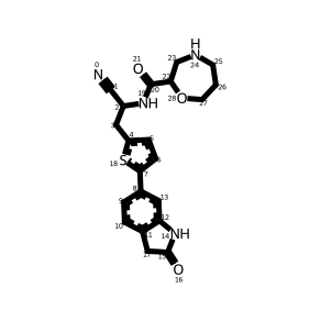 N#CC(Cc1ccc(-c2ccc3c(c2)NC(=O)C3)s1)NC(=O)C1CNCCCO1